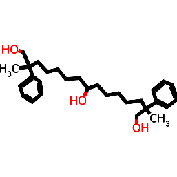 CC(CO)(CCCCCC(O)CCCCCC(C)(CO)c1ccccc1)c1ccccc1